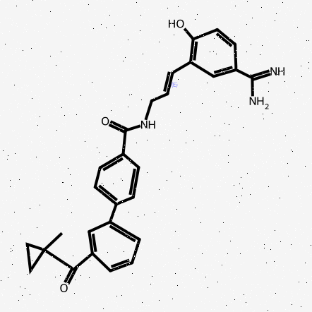 CC1(C(=O)c2cccc(-c3ccc(C(=O)NC/C=C/c4cc(C(=N)N)ccc4O)cc3)c2)CC1